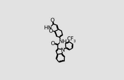 O=C1C=C2CC=C(NC(=O)c3cc4ccccc4n3-c3cccc(C(F)(F)F)c3)C=C2ON1